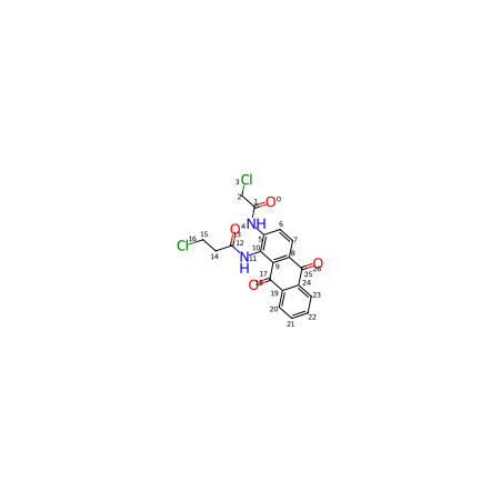 O=C(CCl)Nc1ccc2c(c1NC(=O)CCCl)C(=O)c1ccccc1C2=O